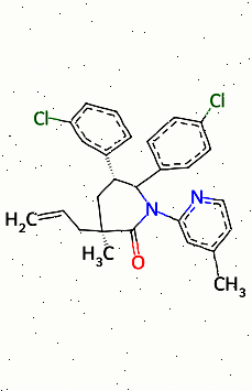 C=CC[C@@]1(C)C[C@H](c2cccc(Cl)c2)C(c2ccc(Cl)cc2)N(c2cc(C)ccn2)C1=O